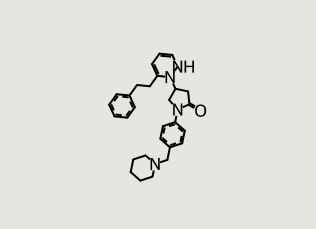 O=C1CC(N2NC=CC=C2CCc2ccccc2)CN1c1ccc(CN2CCCCC2)cc1